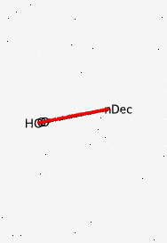 CCCCCCCCCCCCCCCCCCCCCCCCCCCCCCCCCCCCCCCCCCCCCCCCCCCCCCCCCCCCCCOCCOCCO